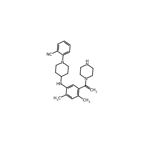 C=C(c1cc(NC2CCN(c3ccccc3C#N)CC2)c(C)cc1C)N1CCNCC1